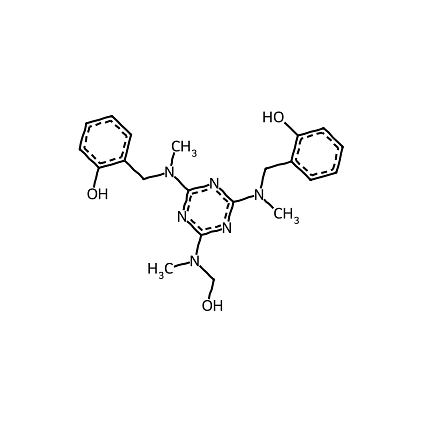 CN(CO)c1nc(N(C)Cc2ccccc2O)nc(N(C)Cc2ccccc2O)n1